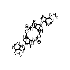 Nc1ncnc2c1ncn2[C@@H]1O[C@@H]2CO[PH](=O)O[C@H]3[C@H](F)[C@H](n4cnc5c(N)ncnc54)O[C@@H]3CO[PH](=O)O[C@H]2[C@@H]1F